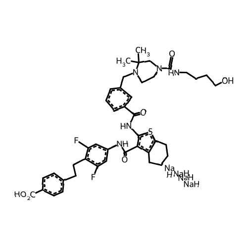 CC1(C)CN(C(=O)NCCCCO)CCN1Cc1cccc(C(=O)Nc2sc3c(c2C(=O)Nc2cc(F)c(CCc4ccc(C(=O)O)cc4)c(F)c2)CCCC3)c1.[NaH].[NaH].[NaH].[NaH]